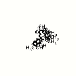 CC[C@@H](C(=O)CC[C@H](C)CCc1ccc(C)c(O)c1C(=O)O)[C@@H]1CC[C@@](CC)(C2CC[C@](O)(CC)[C@H](C)O2)O1